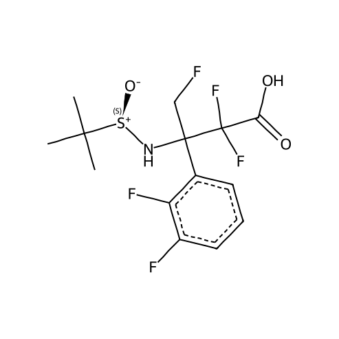 CC(C)(C)[S@@+]([O-])NC(CF)(c1cccc(F)c1F)C(F)(F)C(=O)O